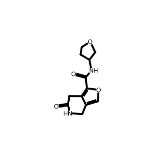 O=C1Cc2c(coc2C(=O)NC2CCOC2)CN1